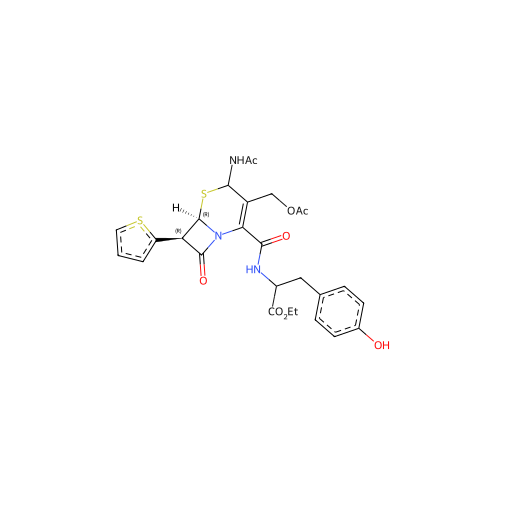 CCOC(=O)C(Cc1ccc(O)cc1)NC(=O)C1=C(COC(C)=O)C(NC(C)=O)S[C@@H]2[C@H](c3cccs3)C(=O)N12